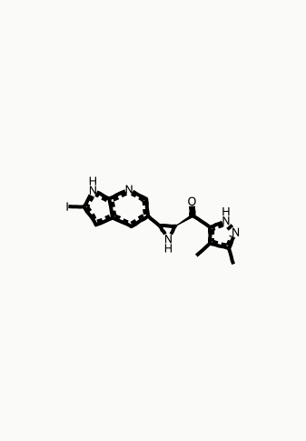 Cc1n[nH]c(C(=O)[C@H]2NC2c2cnc3[nH]c(I)cc3c2)c1C